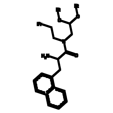 CCOC(CN(CCC(C)C)C(=O)C(N)Cc1cccc2ccccc12)OCC